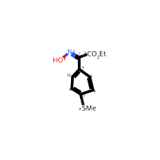 CCOC(=O)/C(=N/O)c1ccc(SC)cc1